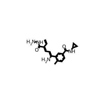 C=C/C(=C\C=C(/N)c1cc(C(=O)NC2CC2)ccc1C)C(=O)NN